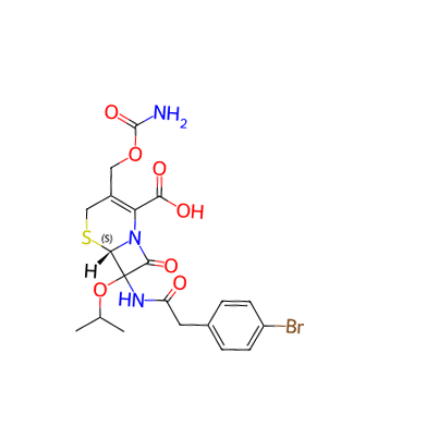 CC(C)OC1(NC(=O)Cc2ccc(Br)cc2)C(=O)N2C(C(=O)O)=C(COC(N)=O)CS[C@H]21